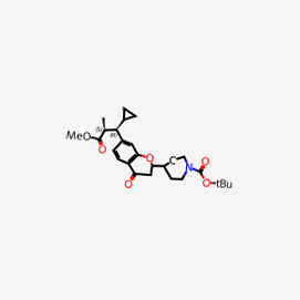 COC(=O)[C@@H](C)[C@H](c1ccc2c(c1)OC(C1CCN(C(=O)OC(C)(C)C)CC1)CC2=O)C1CC1